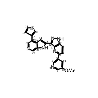 COc1cncc(-c2ccc3[nH]nc(-c4cc5c(-c6ccsc6)cncc5[nH]4)c3n2)c1